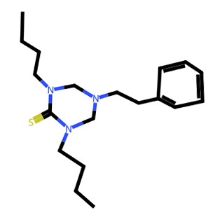 CCCCN1CN(CCc2ccccc2)CN(CCCC)C1=S